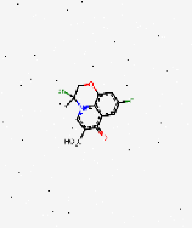 CC1(Br)COc2cc(F)cc3c(=O)c(C(=O)O)cn1c23